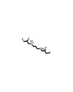 FCC(F)C[SiH2]CCC[SiH2]CC(F)CF